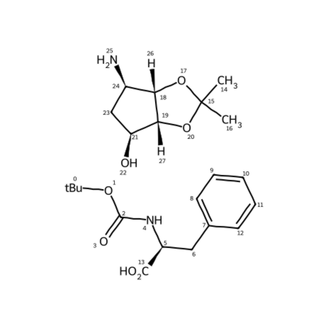 CC(C)(C)OC(=O)N[C@@H](Cc1ccccc1)C(=O)O.CC1(C)O[C@@H]2[C@H](O1)[C@@H](O)C[C@H]2N